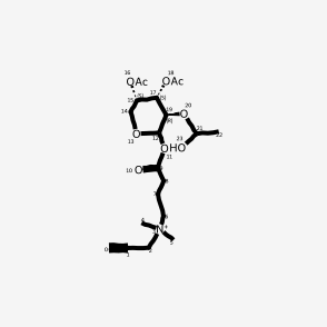 C#CC[N+](C)(C)CCCC(=O)OC1OC[C@H](OC(C)=O)[C@H](OC(C)=O)[C@H]1OC(C)O